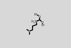 CCOC(OCC)[SiH2]CCCN(C)C